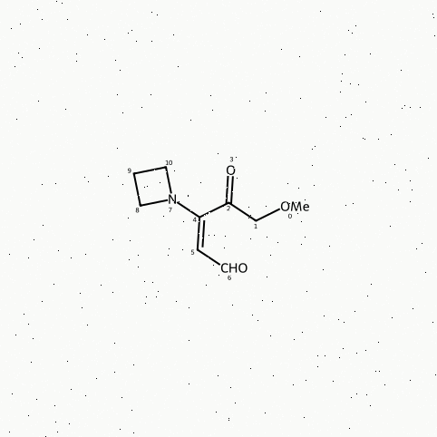 COCC(=O)C(=CC=O)N1CCC1